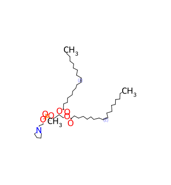 CCCCCCCC/C=C\CCCCCCCC(=O)OCC(COP(C)(=O)OCCN1CCCC1)OC(=O)CCCCCCC/C=C\CCCCCCCC